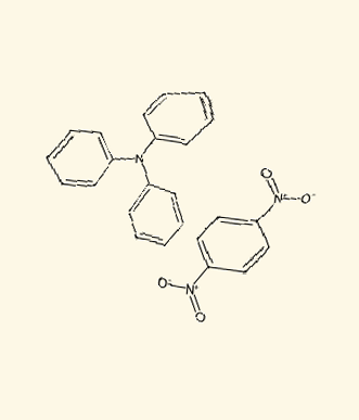 O=[N+]([O-])c1ccc([N+](=O)[O-])cc1.c1ccc(N(c2ccccc2)c2ccccc2)cc1